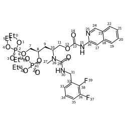 CCOP(=O)(OCC)OC[C@@H](C[C@@H](COC(=O)Nc1cc2ccccc2cn1)N(C)C(=O)NCc1cccc(F)c1F)OP(=O)(OCC)OCC